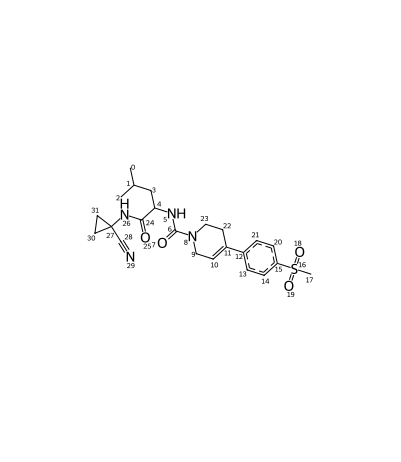 CC(C)CC(NC(=O)N1CC=C(c2ccc(S(C)(=O)=O)cc2)CC1)C(=O)NC1(C#N)CC1